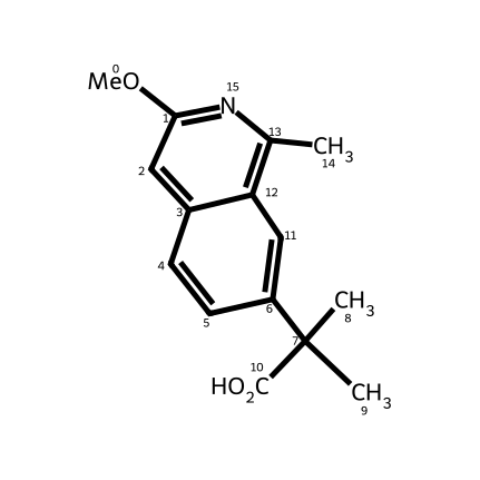 COc1cc2ccc(C(C)(C)C(=O)O)cc2c(C)n1